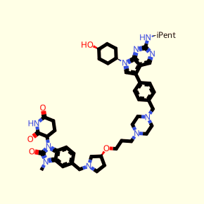 CCC[C@@H](C)Nc1ncc2c(-c3ccc(CN4CCN(CCCO[C@H]5CCN(Cc6ccc7c(c6)n(C)c(=O)n7C6CCC(=O)NC6=O)C5)CC4)cc3)cn([C@H]3CC[C@H](O)CC3)c2n1